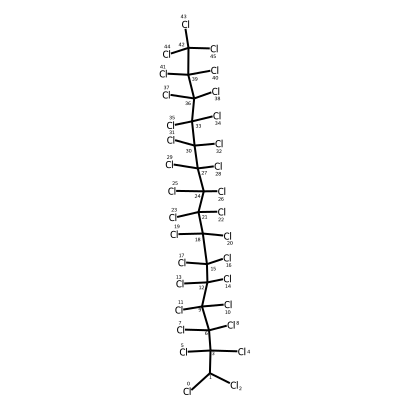 ClC(Cl)C(Cl)(Cl)C(Cl)(Cl)C(Cl)(Cl)C(Cl)(Cl)C(Cl)(Cl)C(Cl)(Cl)C(Cl)(Cl)C(Cl)(Cl)C(Cl)(Cl)C(Cl)(Cl)C(Cl)(Cl)C(Cl)(Cl)C(Cl)(Cl)C(Cl)(Cl)Cl